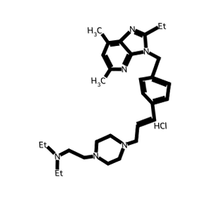 CCc1nc2c(C)cc(C)nc2n1Cc1ccc(C=CCN2CCN(CCN(CC)CC)CC2)cc1.Cl